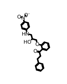 O=C(CCc1ccccc1)c1ccccc1OCC(O)CNc1ccc([N+](=O)[O-])cc1